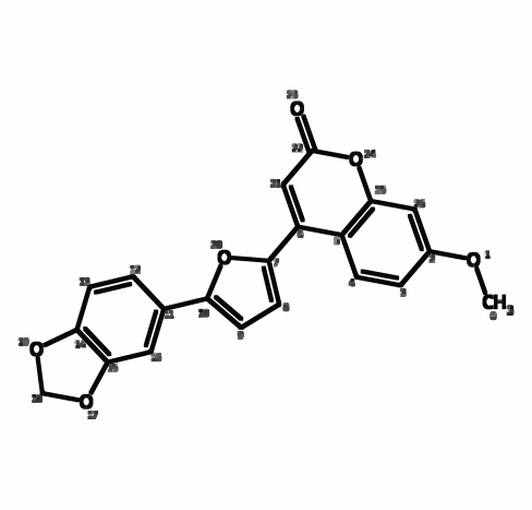 COc1ccc2c(-c3ccc(-c4ccc5c(c4)OCO5)o3)cc(=O)oc2c1